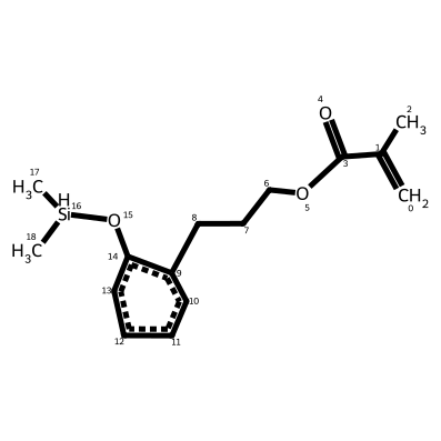 C=C(C)C(=O)OCCCc1ccccc1O[SiH](C)C